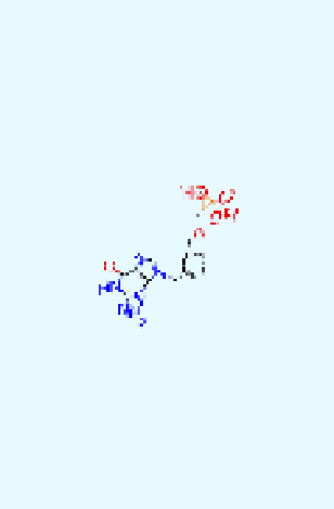 Nc1nc2c(ncn2Cc2cccc(COCP(=O)(O)O)c2)c(=O)[nH]1